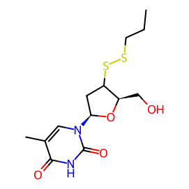 CCCSSC1C[C@H](n2cc(C)c(=O)[nH]c2=O)O[C@@H]1CO